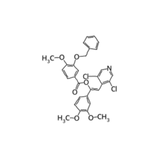 COc1ccc(C(=Cc2c(Cl)cncc2Cl)OC(=O)c2ccc(OC)c(OCc3ccccc3)c2)cc1OC